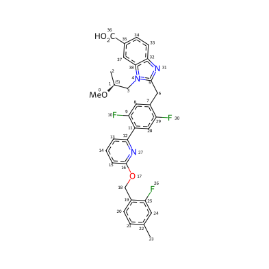 CO[C@@H](C)Cn1c(Cc2cc(F)c(-c3cccc(OCc4ccc(C)cc4F)n3)cc2F)nc2ccc(C(=O)O)cc21